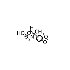 CC(NC(=O)O)(c1ccc2c(c1)OCO2)[N+](=O)[O-]